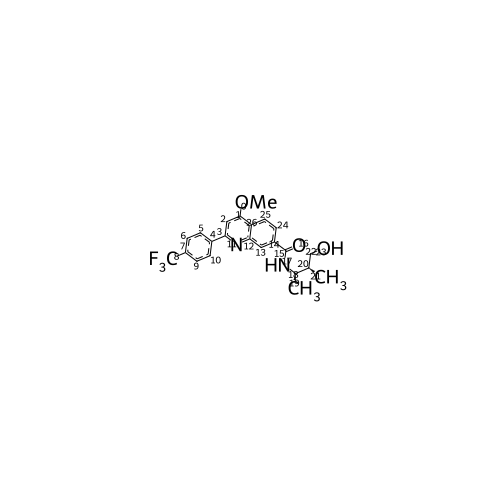 COc1cc(-c2ccc(C(F)(F)F)cc2)nc2cc(C(=O)N[C@H](C)[C@H](C)CO)ccc12